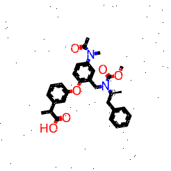 COC(=O)N(Cc1cc(N(C)C(C)=O)ccc1Oc1cccc(C(C)C(=O)O)c1)[C@@H](C)Cc1ccccc1